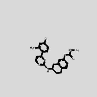 Cc1cc(Cl)ccc1-c1ccnc(NC2CCc3ccc(OC(=O)NO)cc3C2)n1